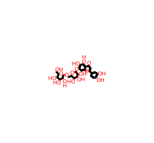 O=c1cc(-c2ccc(O)c(O)c2)oc2cc(OC3OC(COC4OC(CO)C(O)C(O)C4O)C(O)C(O)C3O)c(O)c(O)c12